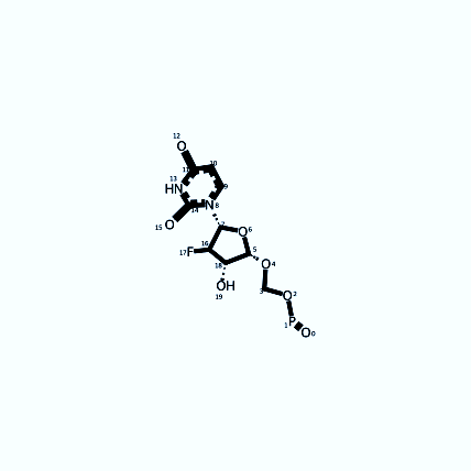 O=POCO[C@H]1O[C@@H](n2ccc(=O)[nH]c2=O)C(F)[C@H]1O